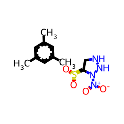 Cc1cc(C)cc(C)c1.O=[N+]([O-])N1NNCC1=S(=O)=O